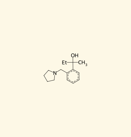 CCC(C)(O)c1ccccc1CN1CCCC1